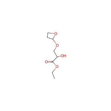 CCOC(=O)C(O)COC1CCO1